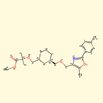 CCc1oc(-c2ccc(C(F)(F)F)cc2)nc1COC[C@@H]1CCCC(COC(C)(C)C(=O)OC(C)(C)C)C1